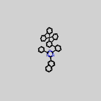 c1ccc(-c2nc(-c3ccc4ccccc4c3)nc(-c3ccccc3-c3cccc4c3-c3ccccc3C43c4ccccc4-c4ccccc43)n2)cc1